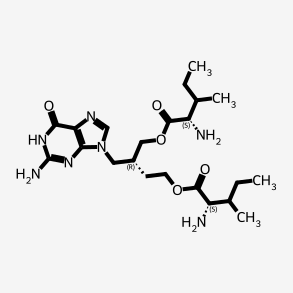 CCC(C)[C@H](N)C(=O)OCC[C@@H](COC(=O)[C@@H](N)C(C)CC)Cn1cnc2c(=O)[nH]c(N)nc21